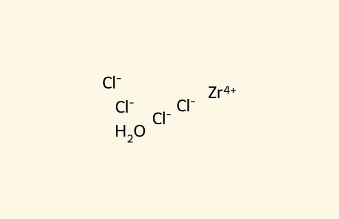 O.[Cl-].[Cl-].[Cl-].[Cl-].[Zr+4]